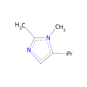 Cc1ncc(C(C)C)n1C